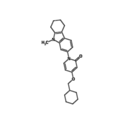 Cn1c2c(c3ccc(-n4ccc(OCC5CCCCC5)cc4=O)cc31)CCCC2